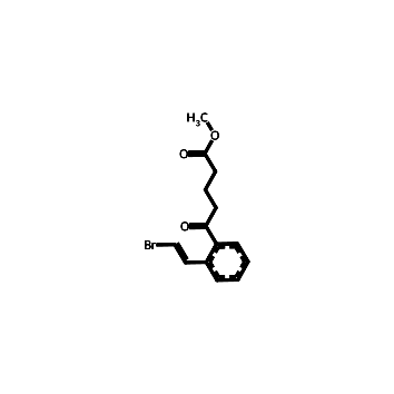 COC(=O)CCCC(=O)c1ccccc1/C=C/Br